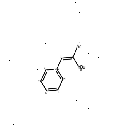 CCCC/C(=C\c1ccccc1)C(C)=O